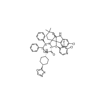 CC1(C)CCC2(CC1)N([C@H](c1ccccc1)[C@@H](O)c1ccccc1)[C@@H](C(=O)N[C@H]1CC[C@H](c3nnco3)CC1)[C@H](c1ccnc(Cl)c1F)C21C(=O)Nc2cc(Cl)ccc21